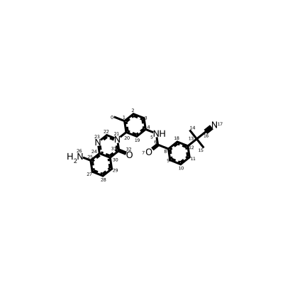 Cc1ccc(NC(=O)c2cccc(C(C)(C)C#N)c2)cc1-n1cnc2c(N)cccc2c1=O